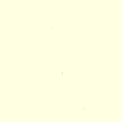 Cc1nc(-c2ccc(C(=O)NC3C4CC5CC3CN(C5)C4)s2)cs1.Cl